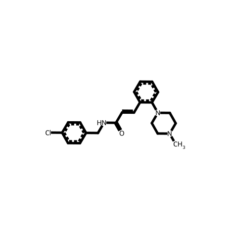 CN1CCN(c2ccccc2C=CC(=O)NCc2ccc(Cl)cc2)CC1